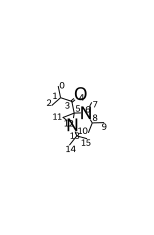 CC(C)C(=O)C1(N(C)C(C)C)CN1C(C)C